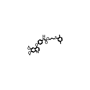 COc1cc2nccc(Oc3ccc(NC(=O)OCCCSc4cc(C)ccc4C)cc3)c2cc1OC